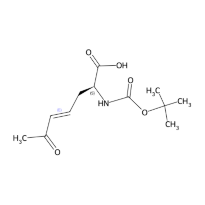 CC(=O)/C=C/C[C@H](NC(=O)OC(C)(C)C)C(=O)O